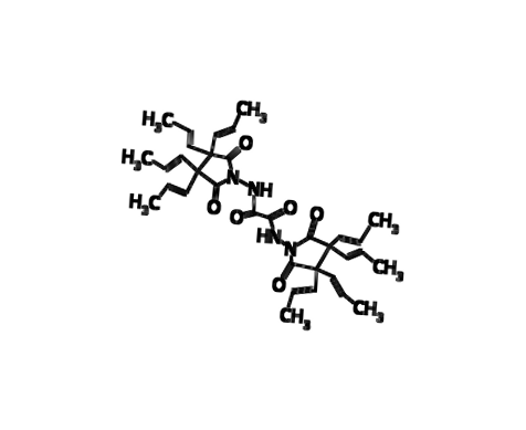 CC=CC1(C=CC)C(=O)N(NC(=O)C(=O)NN2C(=O)C(C=CC)(C=CC)C(C=CC)(C=CC)C2=O)C(=O)C1(C=CC)C=CC